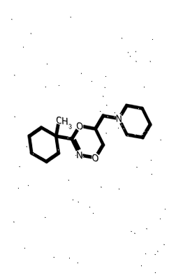 CC1(C2=NOCC(CN3CCCCC3)O2)CCCCC1